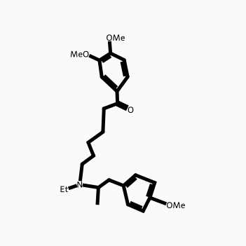 CCN(CCCCCC(=O)c1ccc(OC)c(OC)c1)C(C)Cc1ccc(OC)cc1